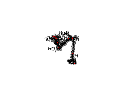 CCCCCON(C(=O)[C@@H](NC(=O)[C@H]1CCCCN1C)[C@@H](C)CC)[C@H](C[C@@H](OC(=O)NC)c1nc(C(=O)N[C@@H](Cc2ccc(NC(=O)OCc3ccc(NC(=O)[C@H](CCCNC(N)=O)NC(=O)[C@@H](NC(=O)CCOCCOCCOCCOCCNC(=O)CCC(=O)N4Cc5ccccc5C#Cc5ccccc54)C(C)C)cc3)cc2)CC(C)(C)C(=O)O)cs1)C(C)C